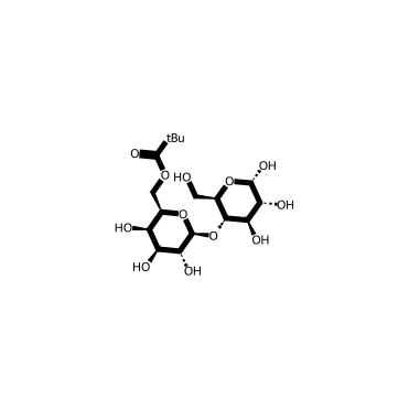 CC(C)(C)C(=O)OC[C@H]1O[C@@H](O[C@H]2[C@H](O)[C@@H](O)[C@@H](O)O[C@@H]2CO)[C@H](O)[C@@H](O)[C@H]1O